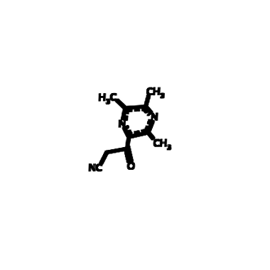 Cc1nc(C)c(C(=O)CC#N)nc1C